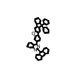 c1ccc(C2(c3ccccc3)c3ccccc3-c3cc4oc5cc(-c6nc(-c7c8ccccc8cc8ccccc78)nc7ccccc67)ccc5c4cc32)cc1